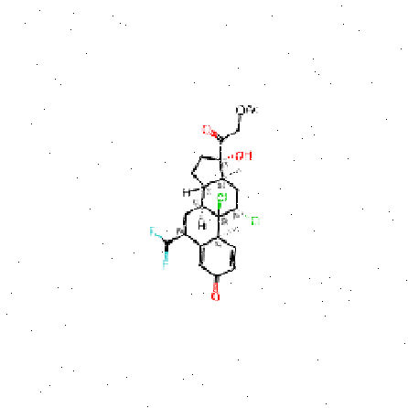 CC(=O)OCC(=O)[C@]1(O)CC[C@H]2[C@@H]3C[C@H](C(F)F)C4=CC(=O)C=C[C@]4(C)[C@@]3(Cl)[C@@H](Cl)C[C@@]21C